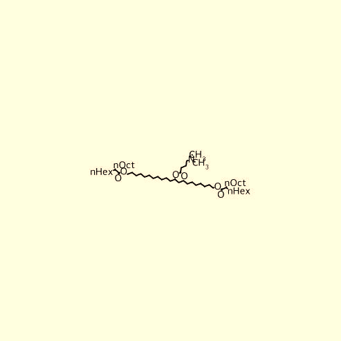 CCCCCCCCC(CCCCCC)C(=O)OCCCCCCCCCCCC(CCCCCCCCCOC(=O)C(CCCCCC)CCCCCCCC)OC(=O)CCCN(C)C